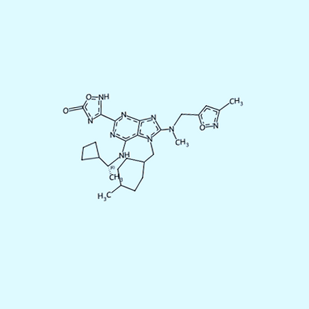 Cc1cc(CN(C)c2nc3nc(-c4nc(=O)o[nH]4)nc(N[C@H](C)C4CCC4)c3n2CC2CCC(C)CC2)on1